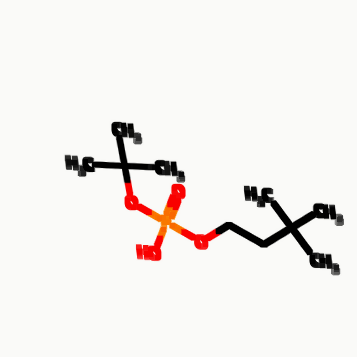 CC(C)(C)CCOP(=O)(O)OC(C)(C)C